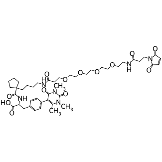 Cc1c(-c2ccc(CC(NC(=O)C3(CCCCNC(=O)CCOCCOCCOCCOCCNC(=O)CCN4C(=O)C=CC4=O)CCCC3)C(=O)O)cc2)c(=O)n(C)c(=O)n1C